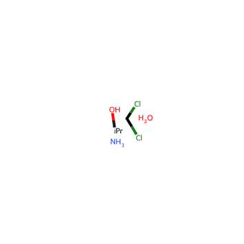 CC(C)O.ClCCl.N.O